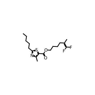 CCCCCc1nc(C)c(C(=O)OCCCCC(C)=C(F)F)s1